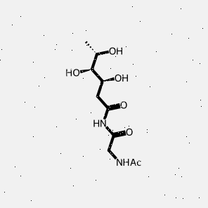 CC(=O)NCC(=O)NC(=O)C[C@H](O)[C@@H](O)[C@H](C)O